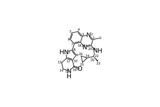 Cc1nc2cccc(-c3cc4c([nH]3)CCNC4=O)c2nc1N[C@@H](C)C1CC1